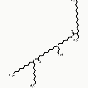 CCCCCCCCCCOCC(CC)C(=O)OCCCCCN(CCO)CCCCCCCC(=O)OC(CCCCCCCC)CCCCCCCC